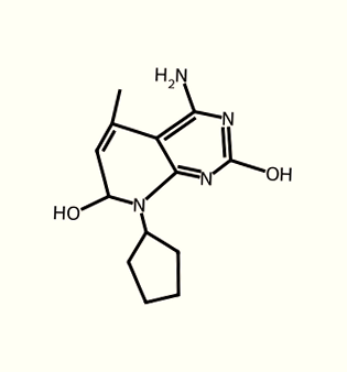 CC1=CC(O)N(C2CCCC2)c2nc(O)nc(N)c21